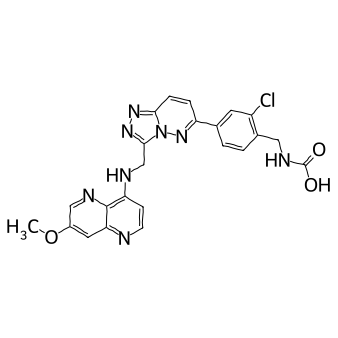 COc1cnc2c(NCc3nnc4ccc(-c5ccc(CNC(=O)O)c(Cl)c5)nn34)ccnc2c1